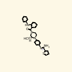 Cl.Cl.N/C(=N\c1ccc(N2CCN(C(=O)c3ccccc3Nc3ccccc3)CC2)cc1)c1cccs1